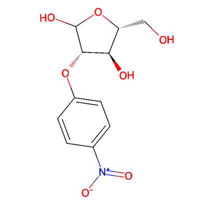 O=[N+]([O-])c1ccc(O[C@@H]2C(O)O[C@H](CO)[C@H]2O)cc1